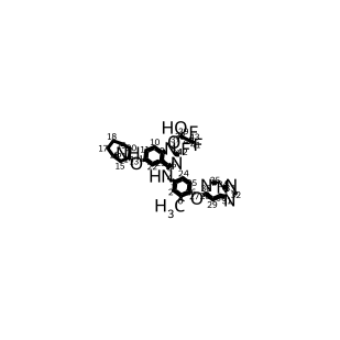 Cc1cc(Nc2ncnc3ccc(OC4CC5CCC(C4)N5)cc23)ccc1Oc1cc2ncnn2cn1.O=C(O)C(F)(F)F